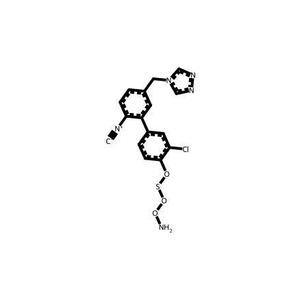 [C-]#[N+]c1ccc(Cn2cnnc2)cc1-c1ccc(OSOON)c(Cl)c1